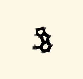 Oc1ncnc2nc3n(c12)CCS3